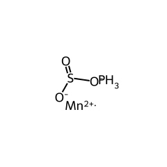 O=S([O-])[O-].P.[Mn+2]